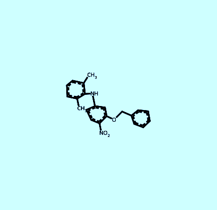 Cc1cccc(C)c1Nc1ccc([N+](=O)[O-])c(OCc2ccccc2)c1